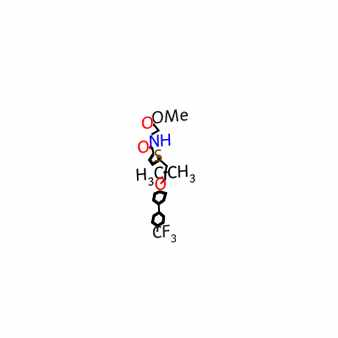 COC(=O)CCNC(=O)c1ccc(CC(C)(C)COc2ccc(-c3ccc(C(F)(F)F)cc3)cc2)s1